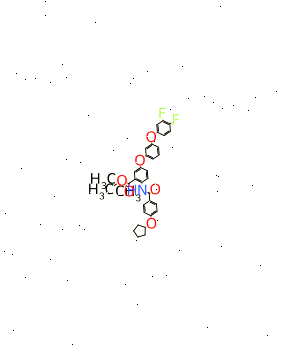 CC(C)(C)OC(=O)c1cc(Oc2cccc(Oc3ccc(F)c(F)c3)c2)ccc1NC(=O)c1ccc(OC2CCCC2)cc1